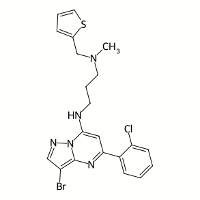 CN(CCCNc1cc(-c2ccccc2Cl)nc2c(Br)cnn12)Cc1cccs1